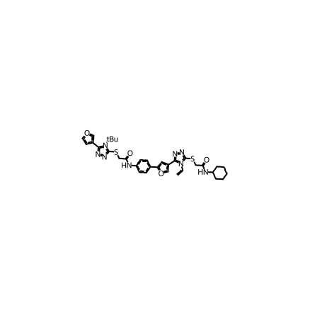 C=Cn1c(SCC(=O)NC2CCCCC2)nnc1-c1coc(-c2ccc(NC(=O)CSc3nnc(-c4ccoc4)n3C(C)(C)C)cc2)c1